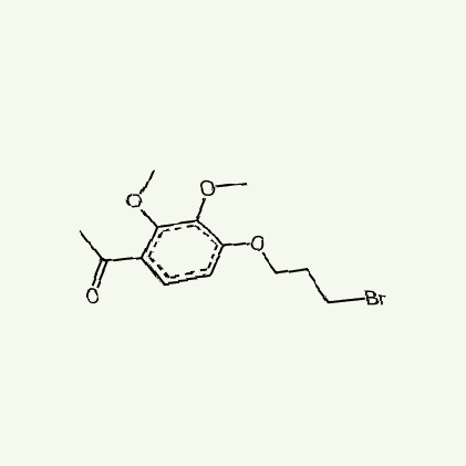 COc1c(OCCCBr)ccc(C(C)=O)c1OC